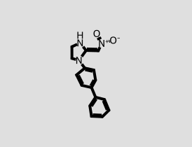 O=[N+]([O-])C=C1NCCN1c1ccc(-c2ccccc2)cc1